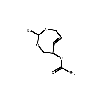 CCC1OC/C=C/C(OC(N)=O)CO1